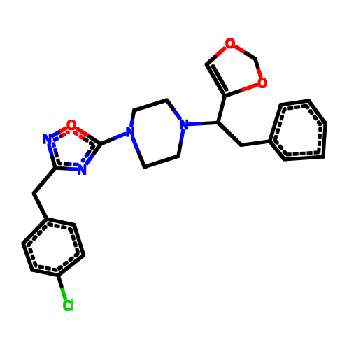 Clc1ccc(Cc2noc(N3CCN(C(Cc4ccccc4)C4=COCO4)CC3)n2)cc1